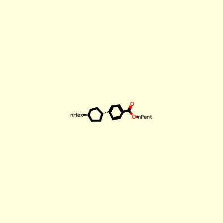 CCCCCC[C@H]1CC[C@H](c2ccc(C(=O)OCCCCC)cc2)CC1